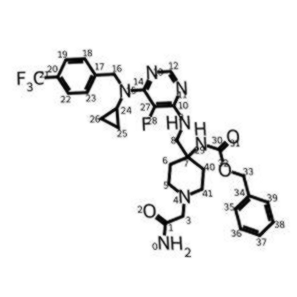 NC(=O)CN1CCC(CNc2ncnc(N(Cc3ccc(C(F)(F)F)cc3)C3CC3)c2F)(NC(=O)OCc2ccccc2)CC1